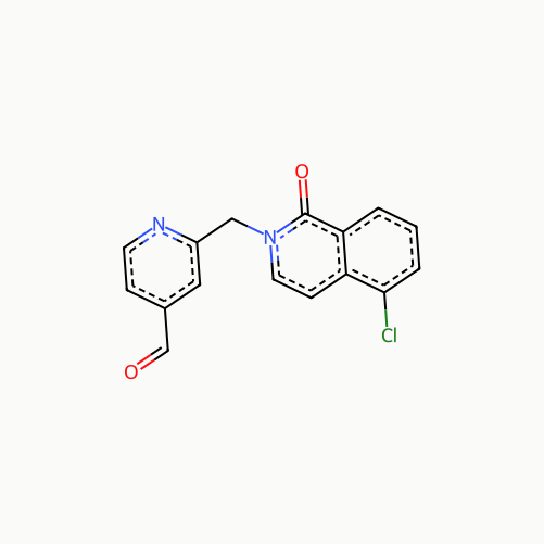 O=Cc1ccnc(Cn2ccc3c(Cl)cccc3c2=O)c1